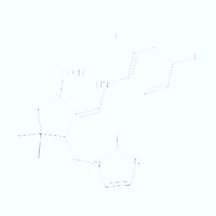 CC1(C)CC(C(=O)O)C2=C(Nc3ccc(I)cc3F)Sc3nccn3CC21